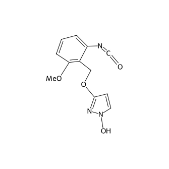 COc1cccc(N=C=O)c1COc1ccn(O)n1